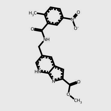 COC(=O)c1cc2cc(CNC(=O)c3cc([N+](=O)[O-])ccc3C)c[nH]c-2n1